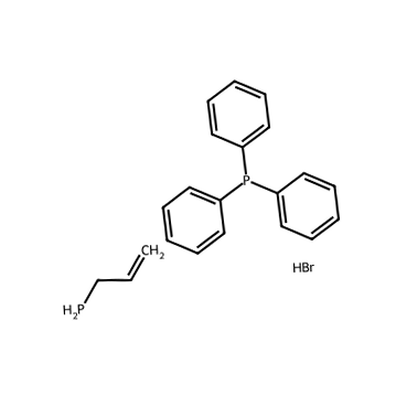 Br.C=CCP.c1ccc(P(c2ccccc2)c2ccccc2)cc1